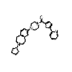 O=C(c1ccc(-c2ccccn2)s1)N1CCN(c2ccc3c(c2)CCN(C2CCCC2)CC3)CC1